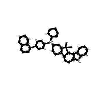 CC1(C)c2cc(N(c3ccccc3)c3ccc(-c4cccc5ccccc45)cc3)ccc2-c2ccc3sc4ccccc4c3c21